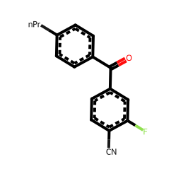 CCCc1ccc(C(=O)c2ccc(C#N)c(F)c2)cc1